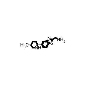 C[C@H]1CC[C@H](c2ccc3sc(CN)nc3c2)NC1